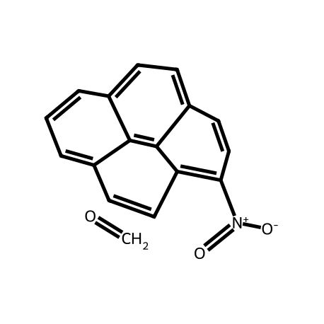 C=O.O=[N+]([O-])c1ccc2ccc3cccc4ccc1c2c34